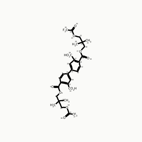 CC(C)(COC(=O)c1ccc(-c2ccc(C(=O)OCC(C)(C)COC(=O)C(F)(F)F)c(C(=O)O)c2)cc1C(=O)O)COC(=O)C(F)(F)F